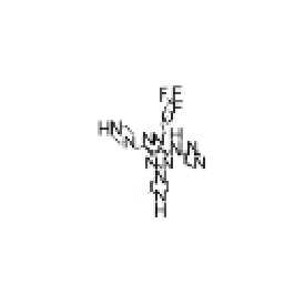 C[C@@H]1CN(c2nc(Nc3ccncn3)c3c(n2)c(CN2CCNCC2)nn3CCOCC(F)(F)F)CCN1